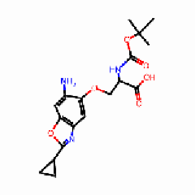 CC(C)(C)OC(=O)NC(COc1cc2nc(C3CC3)oc2cc1N)C(=O)O